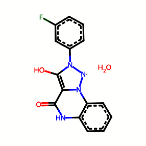 O.O=C1Nc2ccccc2N2[N]N(c3cccc(F)c3)C(O)=C12